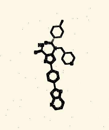 C[C@H]1CC[C@H](C(=O)N(CC2CCOCC2)c2cc(-c3ccc(-c4cc5ncccc5o4)cc3)sc2C(=O)O)CC1